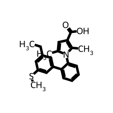 CCc1cc(SC)cc(-c2ccccc2-n2c(C)cc(C(=O)O)c2C)c1